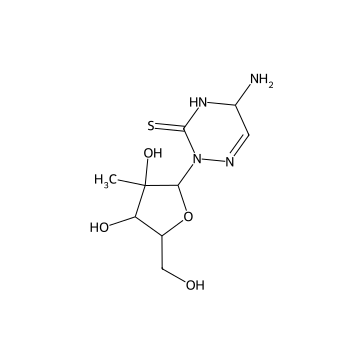 CC1(O)C(O)C(CO)OC1N1N=CC(N)NC1=S